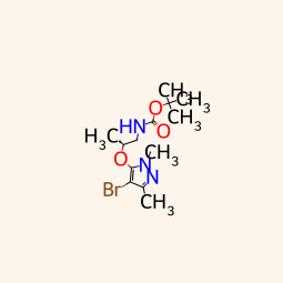 Cc1nn(C)c(O[C@@H](C)CNC(=O)OC(C)(C)C)c1Br